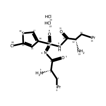 CC(C)C[C@H](N)C(=O)N=S(=O)(NC(=O)[C@@H](N)CC(C)C)c1csc(Cl)c1.Cl.Cl